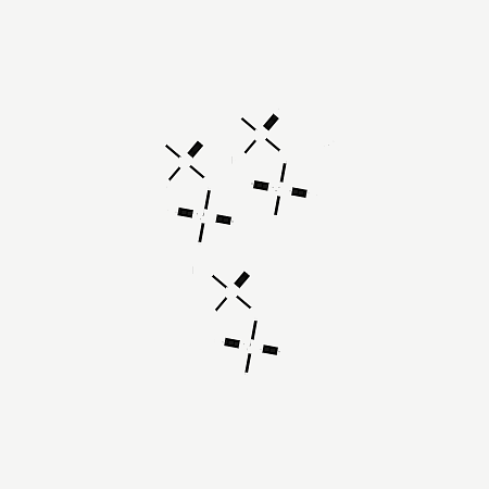 O=P(O)(O)[O][Mo](=[O])(=[O])[O-].O=P(O)(O)[O][Mo](=[O])(=[O])[O-].O=P(O)(O)[O][Mo](=[O])(=[O])[O-].[Ce+3]